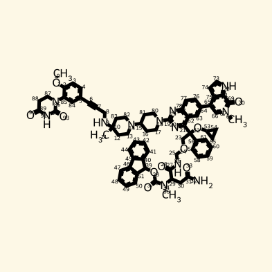 COc1ccc(C#CCNC2(C)CCN(C3CCN(c4nc(C(COCNC(=O)C(CC(N)=O)N(C)C(=O)OC5c6ccccc6-c6ccccc65)(OC5CC5)c5ccccc5)c5cc(-c6cn(C)c(=O)c7[nH]ccc67)ccc5n4)CC3)CC2)cc1N1CCC(=O)NC1=O